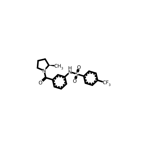 C[C@@H]1CCCN1C(=O)c1cccc(NS(=O)(=O)c2ccc(C(F)(F)F)cc2)c1